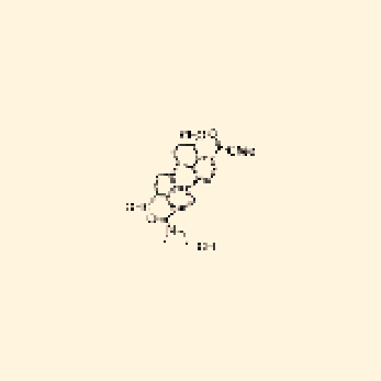 COC(=O)c1ccc2c3ccc(C(=O)N(C)CCO)c4c(C=O)ccc(c5ccc(C=O)c1c52)c43